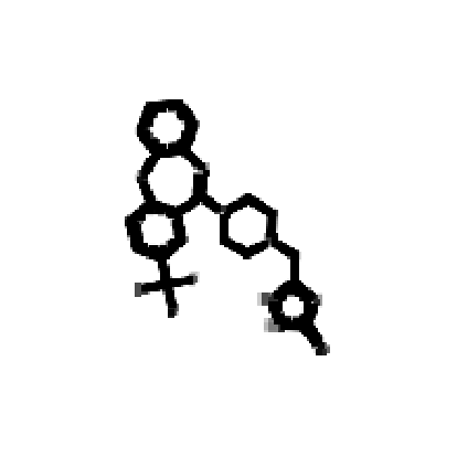 O=c1nc(CN2CCN(C3=Nc4ccccc4Oc4ccc(C(F)(F)F)cc43)CC2)[nH][nH]1